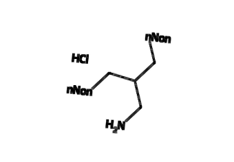 CCCCCCCCCCC(CN)CCCCCCCCCC.Cl